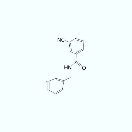 N#Cc1cccc(C(=O)NCc2c[c]ccc2)c1